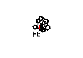 C1=C[C]([Hf][C]2(n3c4c(c5ccccc53)CCCC4)C=Cc3ccccc32)(n2c3c(c4ccccc42)CCCC3)c2ccccc21.Cl.Cl